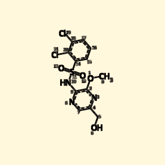 COc1nc(CO)cnc1NS(=O)(=O)c1cccc(Cl)c1Cl